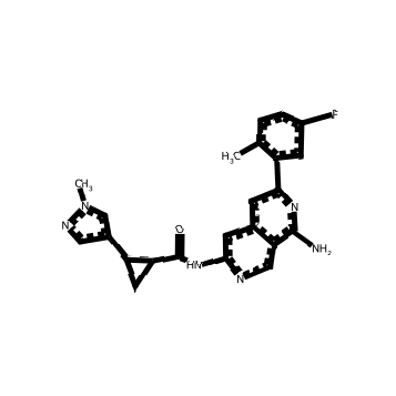 Cc1ccc(F)cc1-c1cc2cc(NC(=O)C3CC3c3cnn(C)c3)ncc2c(N)n1